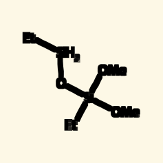 CC[SiH2]O[Si](CC)(OC)OC